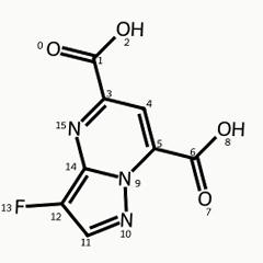 O=C(O)c1cc(C(=O)O)n2ncc(F)c2n1